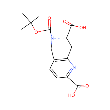 CC(C)(C)OC(=O)N1Cc2ccc(C(=O)O)nc2CC1C(=O)O